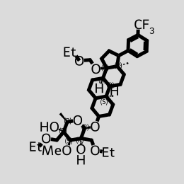 CCOCO[C@@]12CCC(c3cccc(C(F)(F)F)c3)[C@@]1(C)CC[C@@H]1[C@H]2CCC2CC(O[C@@H]3O[C@H](C)[C@](O)(COCC)[C@H](OC)[C@]3(O)COCC)CC[C@@]21C